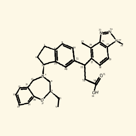 CC[C@@H]1CN([C@H]2CCc3ccc(C(CC(=O)O)c4ccc5c(nnn5C)c4C)cc32)Cc2ccccc2O1